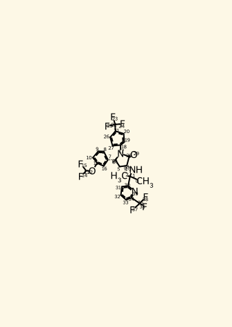 CC(C)(N[C@@H]1C[C@H](c2cccc(OC(F)F)c2)N(c2ccc(C(F)(F)F)cc2)C1=O)c1cccc(C(F)(F)F)n1